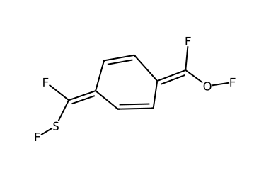 FOC(F)=c1ccc(=C(F)SF)cc1